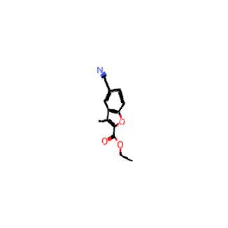 CCOC(=O)c1oc2ccc(C#N)cc2c1C